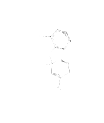 NC1=CC(Oc2ccccc2C(F)(F)F)(C(F)(F)F)C=CC1